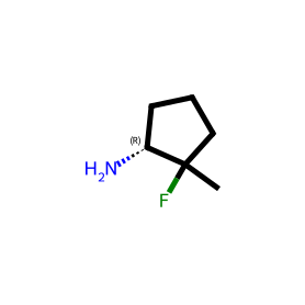 CC1(F)CCC[C@H]1N